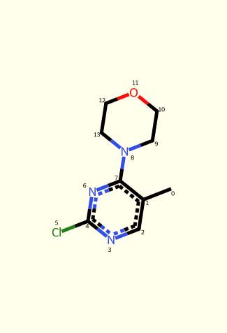 Cc1cnc(Cl)nc1N1CCOCC1